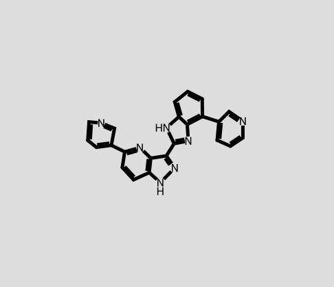 c1cncc(-c2ccc3[nH]nc(-c4nc5c(-c6cccnc6)cccc5[nH]4)c3n2)c1